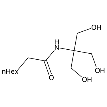 [CH2]CCCCCCC(=O)NC(CO)(CO)CO